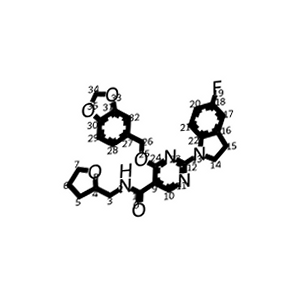 O=C(NCC1CCCO1)c1cnc(N2CCc3cc(F)ccc32)nc1OCc1ccc2c(c1)OCO2